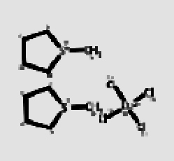 C[S+]1CCCC1.C[S+]1CCCC1.[Cl][Cu-2]([Cl])([Cl])[Cl]